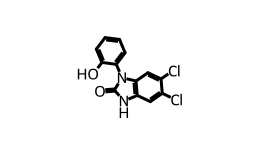 O=c1[nH]c2cc(Cl)c(Cl)cc2n1-c1ccccc1O